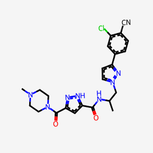 CC(Cn1ccc(-c2ccc(C#N)c(Cl)c2)n1)NC(=O)c1cc(C(=O)N2CCN(C)CC2)n[nH]1